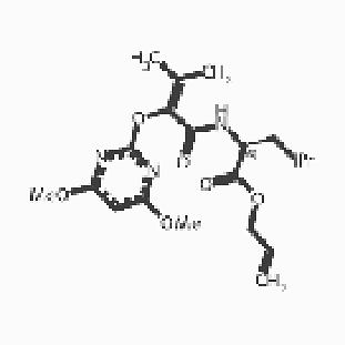 C=CCOC(=O)[C@H](CC(C)C)NC(=O)C(Oc1nc(OC)cc(OC)n1)=C(C)C